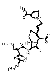 CO/N=C(\C(=O)NC1C(=O)N2C(C(=O)[O-])=C(/C=C/C[n+]3cccc(C(N)=O)c3)CS[C@H]12)c1nsc(N)n1